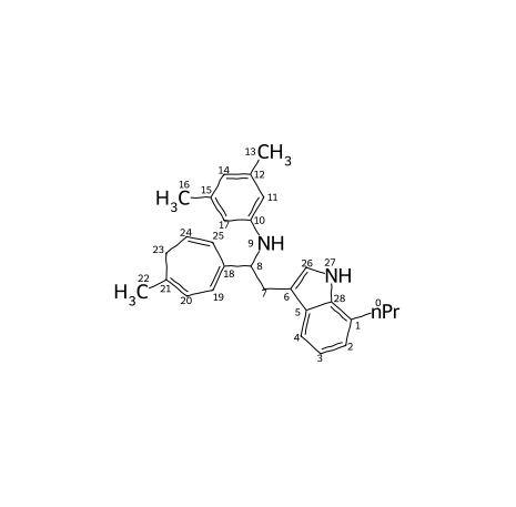 CCCc1cccc2c(CC(Nc3cc(C)cc(C)c3)C3=CC=C(C)CC=C3)c[nH]c12